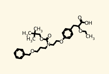 CCOC(Cc1ccc(OCCN(CCCOCc2ccccc2)C(=O)OCC(C)(C)C)cc1)C(=O)O